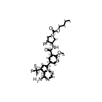 CCCCOC(=O)N1C[C@H](F)[C@H](NC(=O)c2cc(-c3cc(C(F)(F)F)c4c(N)ncnn34)cnc2OC)C1